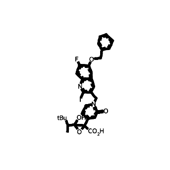 CC(C(C)(C)C)C1(O)OC1(C(=O)O)c1ccn(Cc2cc3cc(OCc4ccccc4)c(F)cc3nc2I)c(=O)c1